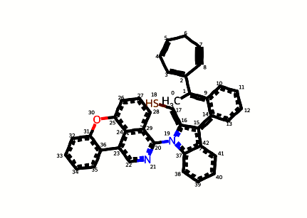 C/C(C1=CC=CCC#C1)=c1/cccc/c1=c1/c(=C/S)n(-c2ncc3c4c(cccc24)Oc2ccccc2-3)c2ccccc12